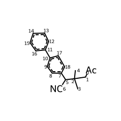 CC(=O)CC(C)(C)C(C#N)c1ccc(-c2ccccc2)cc1